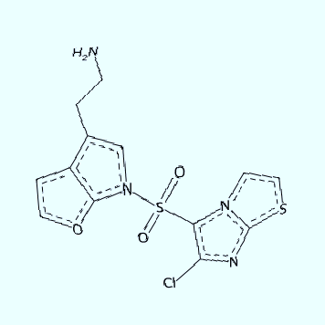 NCCc1cn(S(=O)(=O)c2c(Cl)nc3sccn23)c2occc12